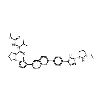 CC[C@H]1CC[C@@H](c2ncc(-c3ccc(-c4ccc5cc(-c6cnc([C@@H]7CCCN7C(=O)[C@@H](NC(=O)OC)C(C)C)[nH]6)ccc5c4)cc3)[nH]2)N1